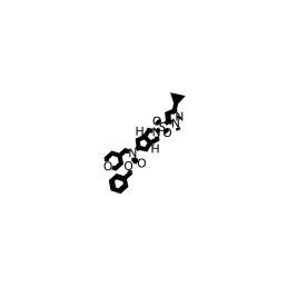 Cn1nc(C2CC2)cc1S(=O)(=O)N1C[C@H]2CC(N(CC3CCOCC3)C(=O)OCc3ccccc3)C[C@H]2C1